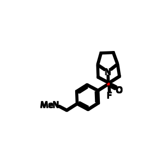 CNCc1ccc(C(=O)N2C3CCC2CC(F)C3)cc1